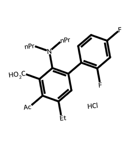 CCCN(CCC)c1c(-c2ccc(F)cc2F)cc(CC)c(C(C)=O)c1C(=O)O.Cl